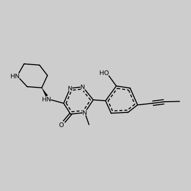 CC#Cc1ccc(-c2nnc(N[C@@H]3CCCNC3)c(=O)n2C)c(O)c1